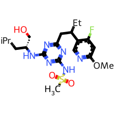 CCC(Cc1nc(N[C@@H](CO)CC(C)C)nc(NS(C)(=O)=O)n1)c1cnc(OC)cc1F